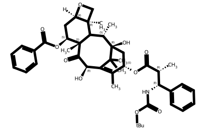 CC1=C2[C@@H](O)C(=O)[C@@]3(C)C([C@H](C)[C@](O)(C[C@@H]1OC(=O)[C@H](C)[C@@H](NC(=O)OC(C)(C)C)c1ccccc1)C2(C)C)[C@]1(C)CO[C@@H]1C[C@@H]3OC(=O)c1ccccc1